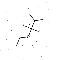 CCOC(F)(F)C(C)C